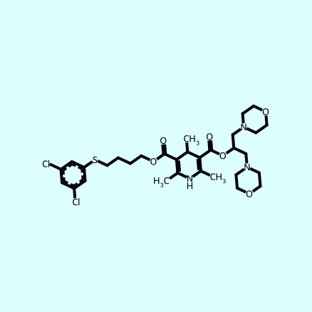 CC1=C(C(=O)OCCCCSc2cc(Cl)cc(Cl)c2)C(C)C(C(=O)OC(CN2CCOCC2)CN2CCOCC2)=C(C)N1